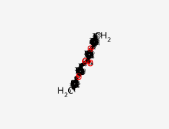 C=Cc1ccc(COc2ccc(CCOC(=O)c3ccc(OCc4ccc(C=C)cc4)cc3)cc2)cc1